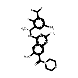 COc1cc2c(N[C@H](C)c3cc(N)cc(C(F)F)c3F)nc(C)nc2cc1C(=O)N1CCOCC1